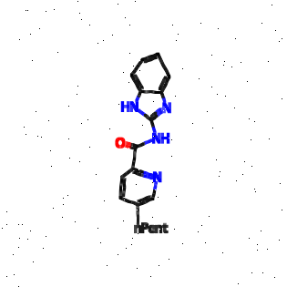 CCCCCc1ccc(C(=O)Nc2nc3ccccc3[nH]2)nc1